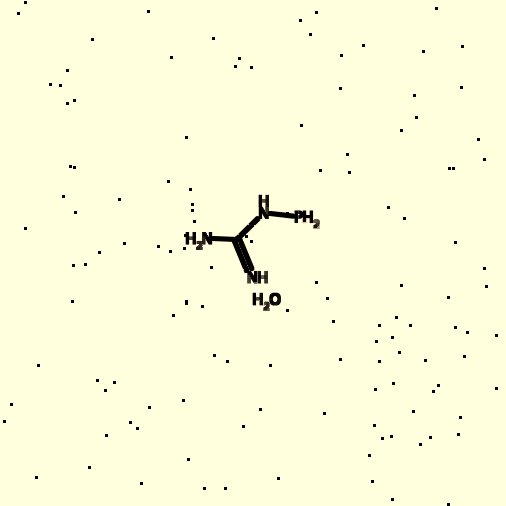 N=C(N)NP.O